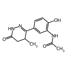 CC(=O)Nc1cc(C2=NNC(=O)CC2C)ccc1O